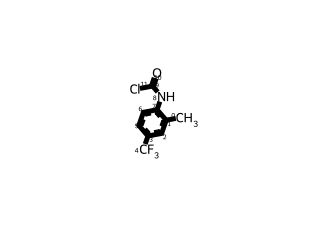 Cc1cc(C(F)(F)F)ccc1NC(=O)Cl